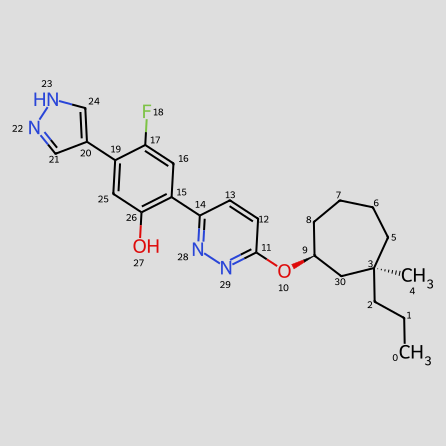 CCC[C@]1(C)CCCC[C@H](Oc2ccc(-c3cc(F)c(-c4cn[nH]c4)cc3O)nn2)C1